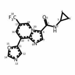 O=C(NC1CC1)c1cnc2c(-c3cnco3)cc(C(F)(F)F)cn12